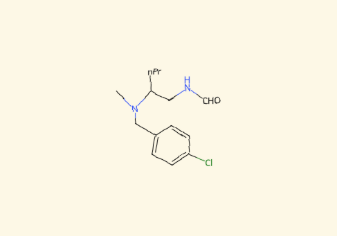 CCCC(CNC=O)N(C)Cc1ccc(Cl)cc1